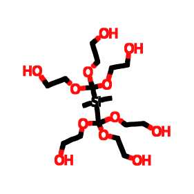 C[Si](C)(C(OCCO)(OCCO)OCCO)C(OCCO)(OCCO)OCCO